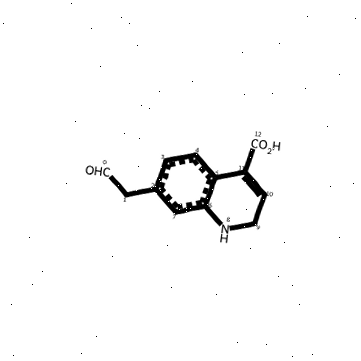 O=CCc1ccc2c(c1)NCC=C2C(=O)O